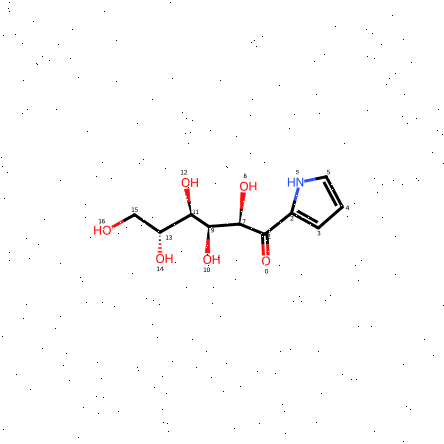 O=C(c1ccc[nH]1)[C@H](O)[C@@H](O)[C@H](O)[C@H](O)CO